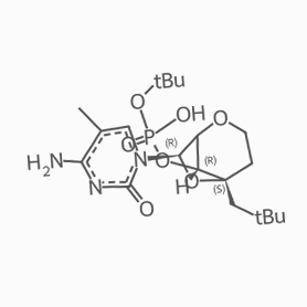 Cc1cn([C@@H]2O[C@@]3(CC(C)(C)C)CCOC2[C@H]3OP(=O)(O)OC(C)(C)C)c(=O)nc1N